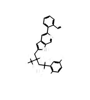 Cc1ccc(F)cc1C(C)(C)CC(O)(Cc1cc2cc(-c3ccccc3C=O)ncc2[nH]1)C(F)(F)F